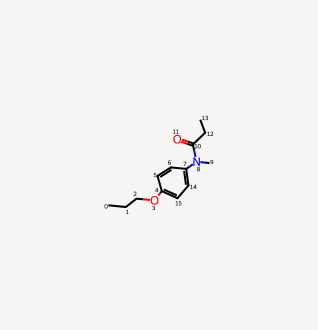 CCCOc1ccc(N(C)C(=O)CC)cc1